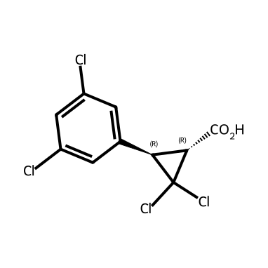 O=C(O)[C@H]1[C@H](c2cc(Cl)cc(Cl)c2)C1(Cl)Cl